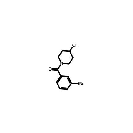 CC(C)(C)c1cccc(C(=O)N2CCC(O)CC2)c1